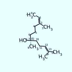 [CH2]C=C(C)CCC[C@](C)(O)CCC=C(C)C